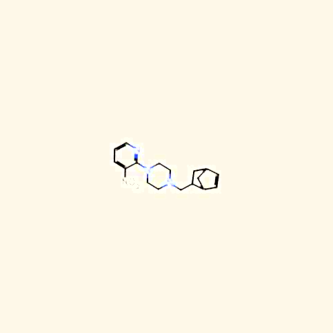 O=[N+]([O-])c1cccnc1N1CCN(CC2CC3C=CC2C3)CC1